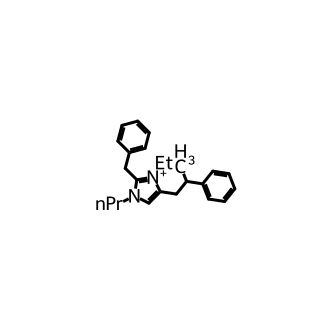 CCCn1cc(CC(C)c2ccccc2)[n+](CC)c1Cc1ccccc1